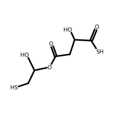 O=C(CC(O)C(=O)S)OC(O)CS